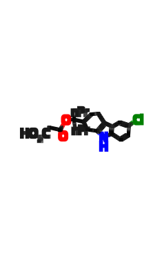 CCCC(CCC)(OC(=O)CC(=O)O)C1CCc2c([nH]c3ccc(Cl)cc23)C1